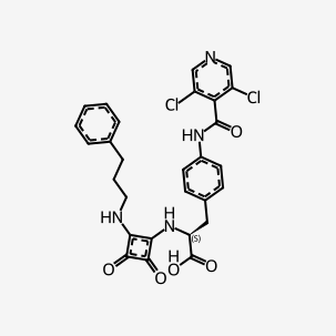 O=C(Nc1ccc(C[C@H](Nc2c(NCCCc3ccccc3)c(=O)c2=O)C(=O)O)cc1)c1c(Cl)cncc1Cl